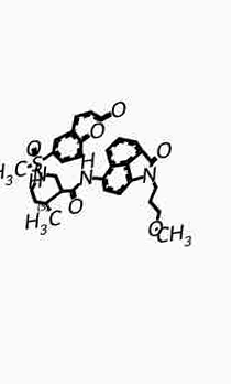 COCCCN1C(=O)c2cccc3c(NC(=O)C4CN([SH](C)(=O)c5ccc6oc(=O)ccc6c5)CC[C@@H]4C)ccc1c23